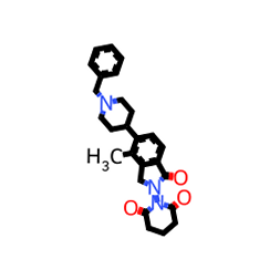 Cc1c(C2CCN(Cc3ccccc3)CC2)ccc2c1CN(N1C(=O)CCCC1=O)C2=O